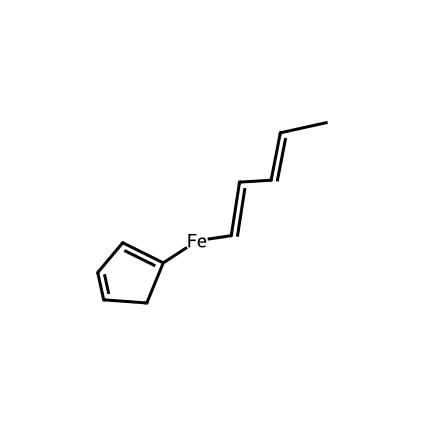 CC=CC=[CH][Fe][C]1=CC=CC1